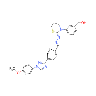 OCc1cccc(N2CCCS/C2=N\N=C\c2ccc(-c3ncn(-c4ccc(OC(F)(F)F)cc4)n3)cc2)c1